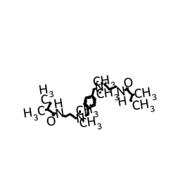 CCC(C)C(=O)NCCC[N+](C)(C)Cc1ccc(C[N+](C)(C)CCCNC(=O)C(C)CC)cc1